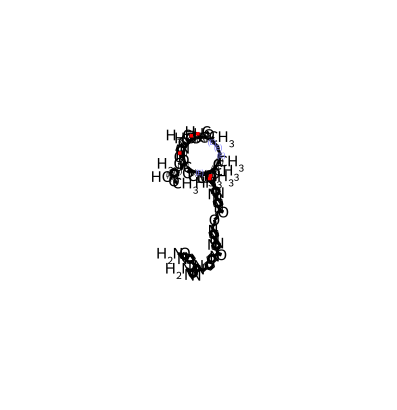 CO[C@H]1C[C@@H]2CC[C@@H](C)[C@@](O)(O2)C(=O)C(=O)N2CCCC[C@H]2C(=O)O[C@H]([C@H](C)C[C@@H]2CC[C@@H](O)[C@H](OC)C2)CC(=O)[C@H](C)/C=C(\C)[C@@H](OC(=O)NCc2cnc(N3CCN(C(=O)CCOCCN4CCN(c5ncc(C(=O)N6CCc7cc(Cn8nc(-c9ccc%10oc(N)nc%10c9)c9c(N)ncnc98)ccc7C6)cn5)CC4)CC3)nc2)[C@@H](OC)C(=O)[C@H](C)C[C@H](C)/C=C/C=C/C=C/1C